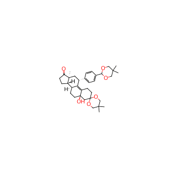 CC1(C)COC(c2ccc([C@H]3C[C@]4(C)C(=O)CC[C@H]4[C@@H]4CC[C@@]5(O)CC6(CCC5=C43)OCC(C)(C)CO6)cc2)OC1